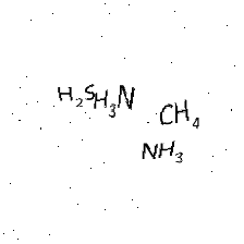 C.N.N.S